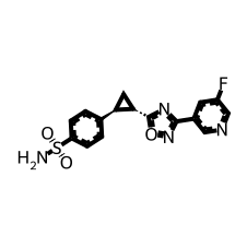 NS(=O)(=O)c1ccc([C@H]2C[C@@H]2c2nc(-c3cncc(F)c3)no2)cc1